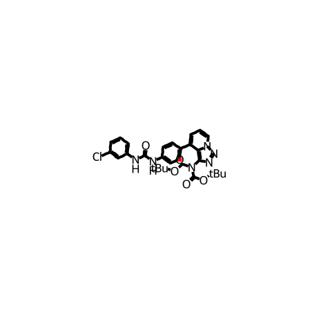 CC(C)(C)OC(=O)N(C(=O)OC(C)(C)C)c1nnn2cccc(-c3ccc(NC(=O)Nc4cccc(Cl)c4)cc3)c12